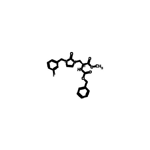 COC(=O)[C@H](Cn1ccn(Cc2cccc(F)c2)c1=O)NC(=O)OCc1ccccc1